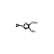 COc1nn(C2CC2)cc1C(C)(C)C